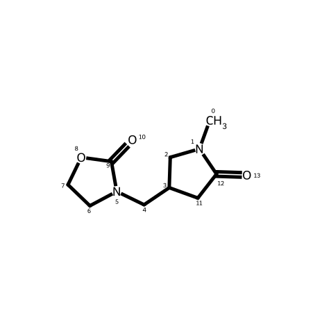 CN1CC(CN2CCOC2=O)CC1=O